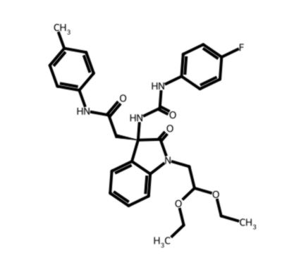 CCOC(CN1C(=O)[C@@](CC(=O)Nc2ccc(C)cc2)(NC(=O)Nc2ccc(F)cc2)c2ccccc21)OCC